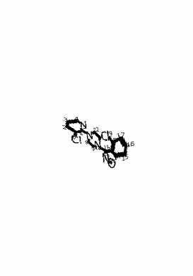 Clc1cccnc1N1CCN(c2noc3cccc(Cl)c23)CC1